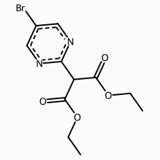 CCOC(=O)C(C(=O)OCC)c1ncc(Br)cn1